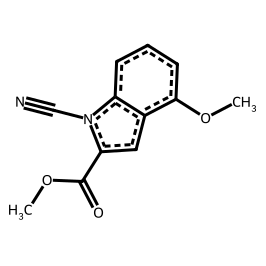 COC(=O)c1cc2c(OC)cccc2n1C#N